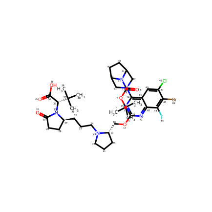 CC(C)(C)OC(=O)N1C2CCC1CN(c1nc(OC[C@@H]3CCCN3CCC[C@H]3CCC(=O)N3[C@H](C(=O)O)C(C)(C)C)nc3c(F)c(Br)c(Cl)cc13)C2